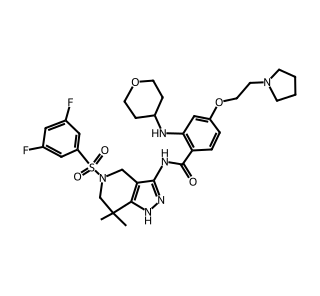 CC1(C)CN(S(=O)(=O)c2cc(F)cc(F)c2)Cc2c(NC(=O)c3ccc(OCCN4CCCC4)cc3NC3CCOCC3)n[nH]c21